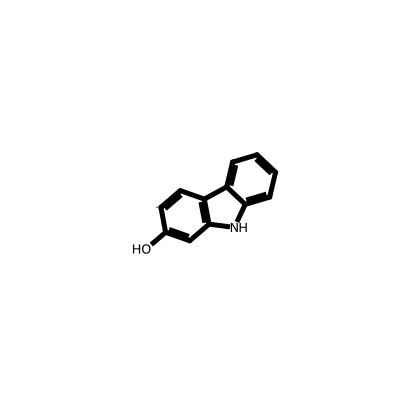 Oc1[c]cc2c(c1)[nH]c1ccccc12